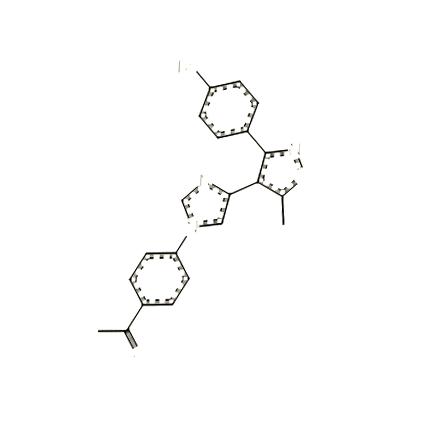 CC(=O)c1ccc(-n2cnc(-c3c(-c4ccc(Br)cc4)noc3C)c2)cc1